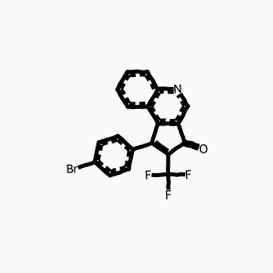 O=C1C(C(F)(F)F)=C(c2ccc(Br)cc2)c2c1cnc1ccccc21